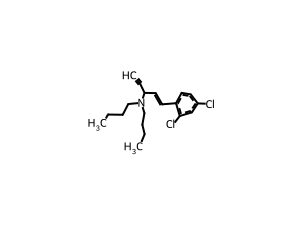 C#CC(C=Cc1ccc(Cl)cc1Cl)N(CCCC)CCCC